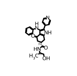 C[C@H](CO)NC(=O)[C@@H]1CC(=O)c2c([nH]c(-c3ccncc3)c2Nc2ccccc2)C1